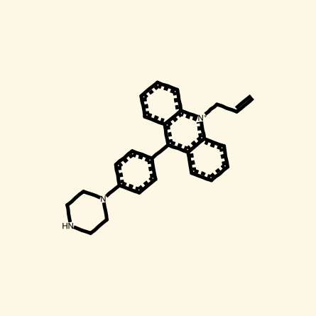 C=CC[n+]1c2ccccc2c(-c2ccc(N3CCNCC3)cc2)c2ccccc21